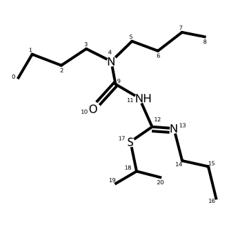 CCCCN(CCCC)C(=O)NC(=NCCC)SC(C)C